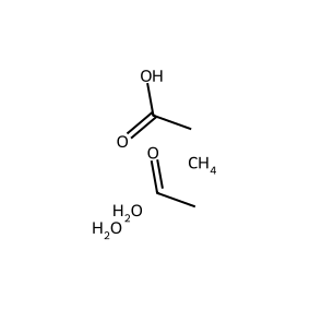 C.CC(=O)O.CC=O.O.O